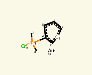 C[PH](C)(Cl)c1ccccc1.[Au]